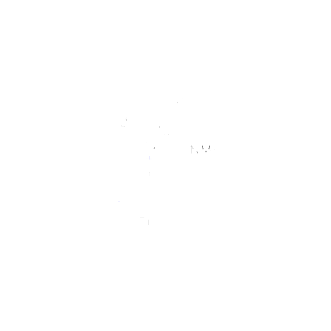 CC/C=C\C=C(\C(=O)NC)C(C)C